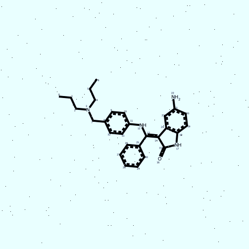 CCCN(CCC)Cc1ccc(NC(=C2C(=O)Nc3ccc(N)cc32)c2ccccc2)cc1